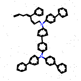 C=CC/C=C(\C=C/CN(c1ccc(-c2ccccc2)cc1)c1ccc(-c2ccc(N(c3ccc(-c4ccccc4)cc3)c3ccc(-c4ccccc4)cc3)cc2)cc1)c1ccccc1